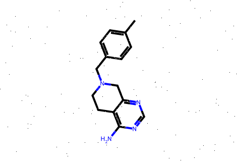 Cc1ccc(CN2CCc3c(N)ncnc3C2)cc1